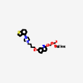 CCCCCCOC(=O)OCOc1ccc2ccc(OCCCCN3CCN(c4cccc5sccc45)CC3)cc2n1